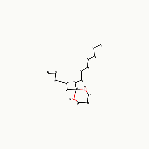 CCCCCCCCC1(CCCCC)OCCCO1